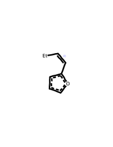 CC/C=C\c1ccco1